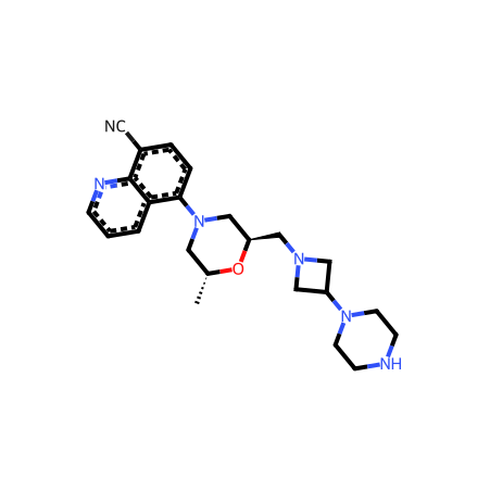 C[C@@H]1CN(c2ccc(C#N)c3ncccc23)C[C@@H](CN2CC(N3CCNCC3)C2)O1